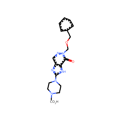 O=C(O)N1CCN(c2nc3cnn(COCc4ccccc4)c(=O)c3[nH]2)CC1